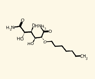 CCCCCCCO[C@@H](C(N)=O)[C@@H](O)[C@H](O)[C@H](O)C(N)=O